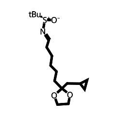 CC(C)(C)[S@@+]([O-])/N=C/CCCCCC1(CC2CC2)OCCO1